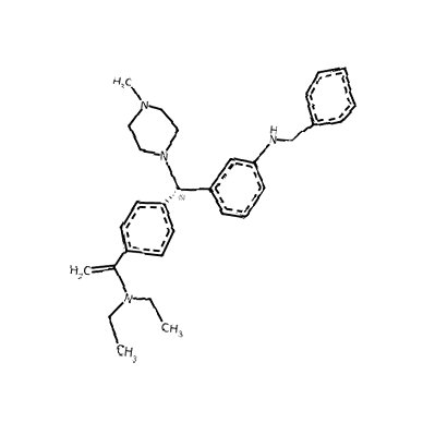 C=C(c1ccc([C@@H](c2cccc(NCc3ccccc3)c2)N2CCN(C)CC2)cc1)N(CC)CC